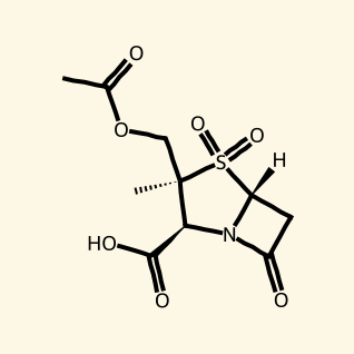 CC(=O)OC[C@]1(C)[C@H](C(=O)O)N2C(=O)C[C@H]2S1(=O)=O